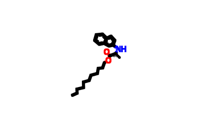 CCCCCCCCCCCOC(=O)[C@H](C)Nc1ccc2ccccc2c1